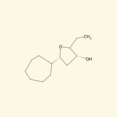 CCC1O[C@@H](C2CCCCCC2)C[C@H]1O